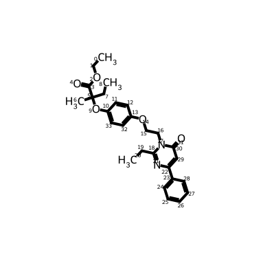 CCOC(=O)C(C)(CC)Oc1ccc(OCCn2c(CC)nc(-c3ccccc3)cc2=O)cc1